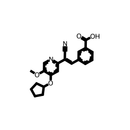 COc1cnc(C(C#N)=Cc2cccc(C(=O)O)c2)cc1OC1CCCC1